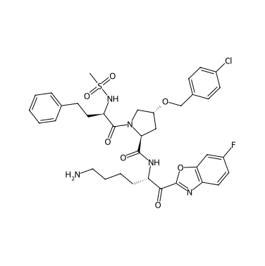 CS(=O)(=O)N[C@H](CCc1ccccc1)C(=O)N1C[C@H](OCc2ccc(Cl)cc2)C[C@H]1C(=O)N[C@@H](CCCCN)C(=O)c1nc2ccc(F)cc2o1